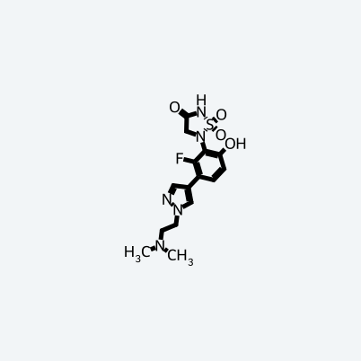 CN(C)CCn1cc(-c2ccc(O)c(N3CC(=O)NS3(=O)=O)c2F)cn1